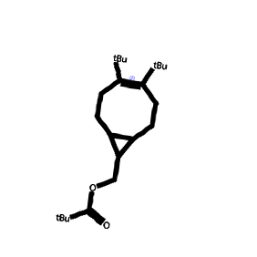 CC(C)(C)C(=O)OCC1C2CC/C(C(C)(C)C)=C(/C(C)(C)C)CCC21